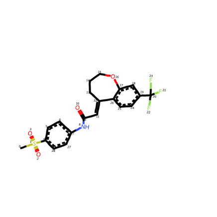 CS(=O)(=O)c1ccc(NC(=O)C=C2CCCOc3cc(C(F)(F)F)ccc32)cc1